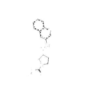 CC(C)(C)OC(=O)N1CC[C@@H](NNc2cnc3ccccc3c2)C1